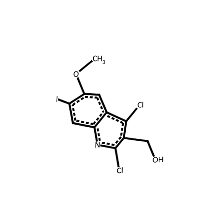 COc1cc2c(Cl)c(CO)c(Cl)nc2cc1I